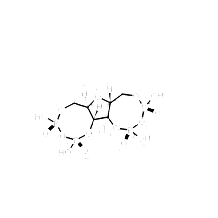 O=P1(O)OC[C@H]2O[C@@H]3COP(=O)(O)OP(=O)(O)O[C@H]3[C@@H]2OP(=O)(O)O1